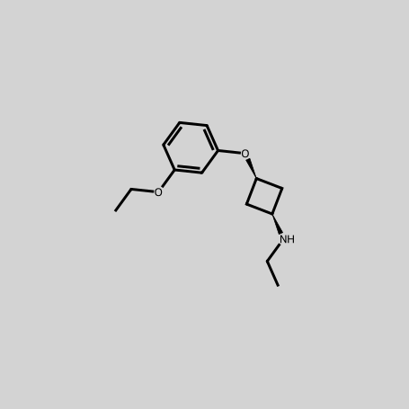 CCN[C@H]1C[C@@H](Oc2cccc(OCC)c2)C1